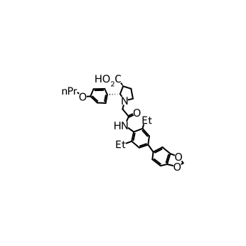 CCCOc1ccc([C@@H]2[C@@H](C(=O)O)CCN2CC(=O)Nc2c(CC)cc(-c3ccc4c(c3)OCO4)cc2CC)cc1